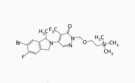 CC1c2cc(Br)c(F)cc2CN1c1cnn(COCC[Si](C)(C)C)c(=O)c1C(F)(F)F